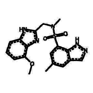 COc1cccc2[nH]c(CN(C)S(=O)(=O)c3cc(C)cc4cn[nH]c34)nc12